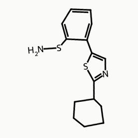 NSc1ccccc1-c1cnc(C2CCCCC2)s1